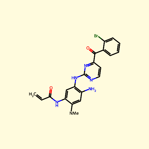 C=CC(=O)Nc1cc(Nc2nccc(C(=O)c3ccccc3Br)n2)c(N)cc1NC